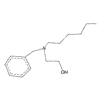 CCCCCCN(CCO)Cc1ccccc1